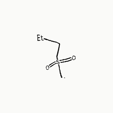 [CH2]CCS([CH2])(=O)=O